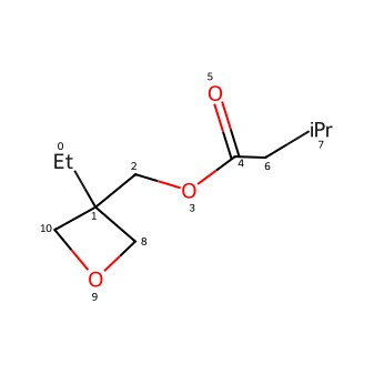 CCC1(COC(=O)CC(C)C)COC1